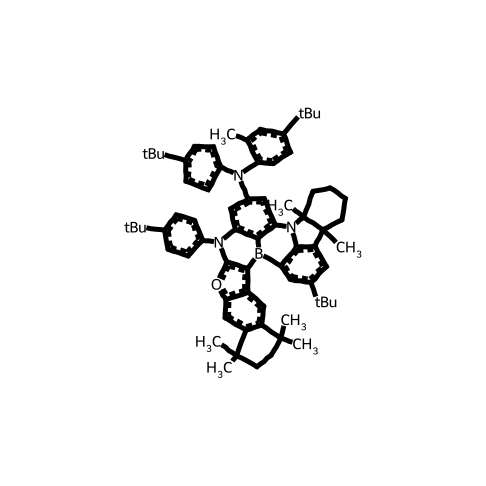 Cc1cc(C(C)(C)C)ccc1N(c1ccc(C(C)(C)C)cc1)c1cc2c3c(c1)N1c4c(cc(C(C)(C)C)cc4C4(C)CCCCC14C)B3c1c(oc3cc4c(cc13)C(C)(C)CCC4(C)C)N2c1ccc(C(C)(C)C)cc1